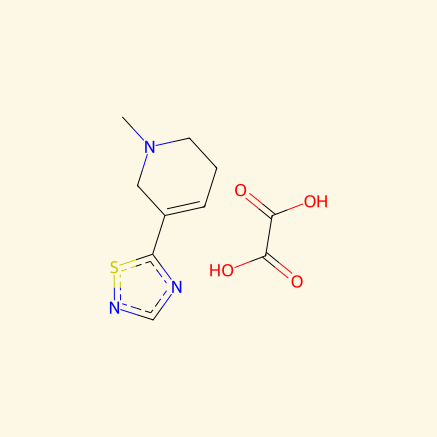 CN1CCC=C(c2ncns2)C1.O=C(O)C(=O)O